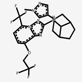 Cn1cc(N2CC3CCC(C2)C3Nc2nc3c(OCC(F)(F)F)ccc(C(F)(F)F)n3n2)cn1